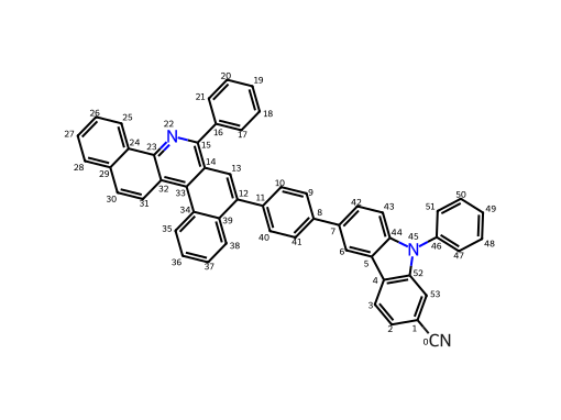 N#Cc1ccc2c3cc(-c4ccc(-c5cc6c(-c7ccccc7)nc7c8ccccc8ccc7c6c6ccccc56)cc4)ccc3n(-c3ccccc3)c2c1